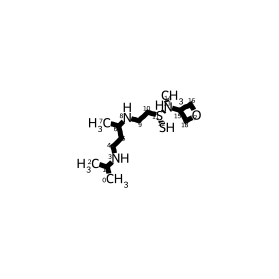 CC(C)NCCC(C)NCC[SH](S)N(C)C1COC1